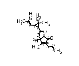 [2H]C1(OC(=O)C2C(C=C(C)C)C2(C)C)CC(=O)C(CC=C)=C1C